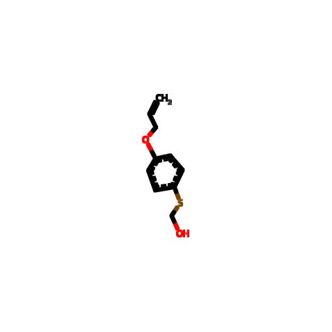 C=CCOc1ccc(SCO)cc1